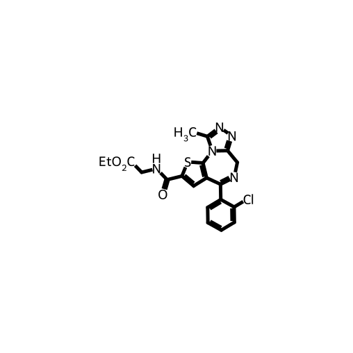 CCOC(=O)CNC(=O)c1cc2c(s1)-n1c(C)nnc1CN=C2c1ccccc1Cl